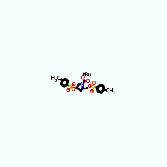 Cc1ccc(S(=O)(=O)OC[C@H]2CC(OS(=O)(=O)c3ccc(C)cc3)CN2C(=O)OC(C)(C)C)cc1